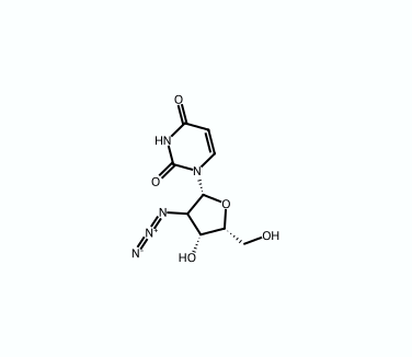 [N-]=[N+]=NC1[C@@H](O)[C@@H](CO)O[C@H]1n1ccc(=O)[nH]c1=O